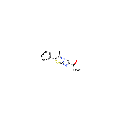 COC(=O)c1cn2c(C)c(-c3ccccc3)sc2n1